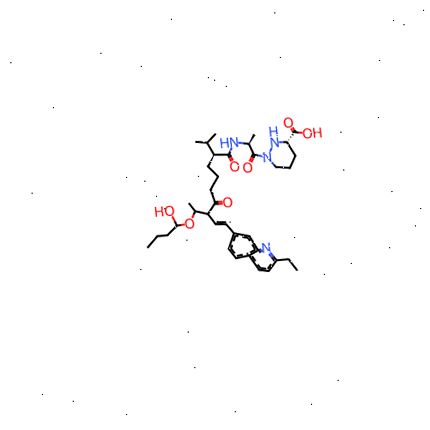 CCCC(O)OC(C)C(/C=C/c1ccc2ccc(CC)nc2c1)C(=O)CCC[C@H](C(=O)N[C@@H](C)C(=O)N1CCC[C@@H](C(=O)O)N1)C(C)C